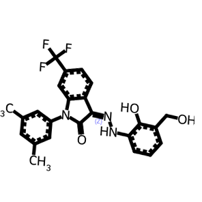 Cc1cc(C)cc(N2C(=O)/C(=N\Nc3cccc(CO)c3O)c3ccc(C(F)(F)F)cc32)c1